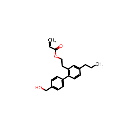 C=CC(=O)OCCc1cc(CCC)ccc1-c1ccc(CO)cc1